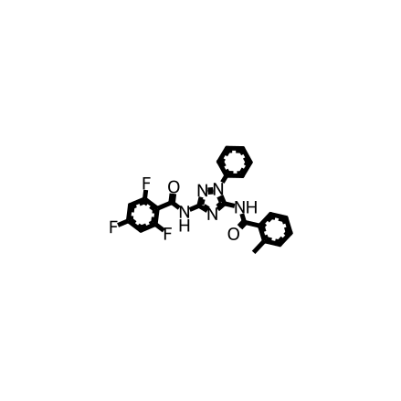 Cc1ccccc1C(=O)Nc1nc(NC(=O)c2c(F)cc(F)cc2F)nn1-c1ccccc1